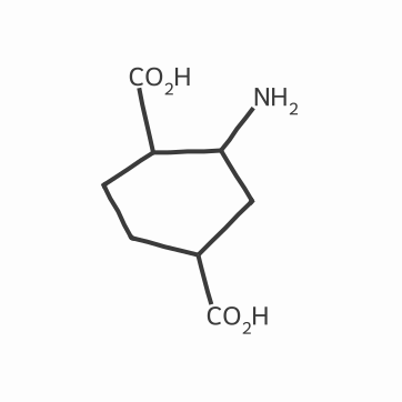 NC1CC(C(=O)O)CCC1C(=O)O